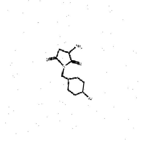 CC(=O)C1CCC(CN2C(=O)CC(N)C2=O)CC1